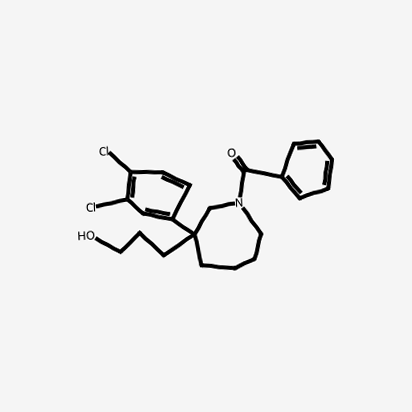 O=C(c1ccccc1)N1CCCCC(CCCO)(c2ccc(Cl)c(Cl)c2)C1